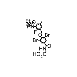 CCS(=O)(=O)Nc1cc(C)cc(COc2c(Br)cc(C(=O)NCC(=O)O)cc2Br)c1F